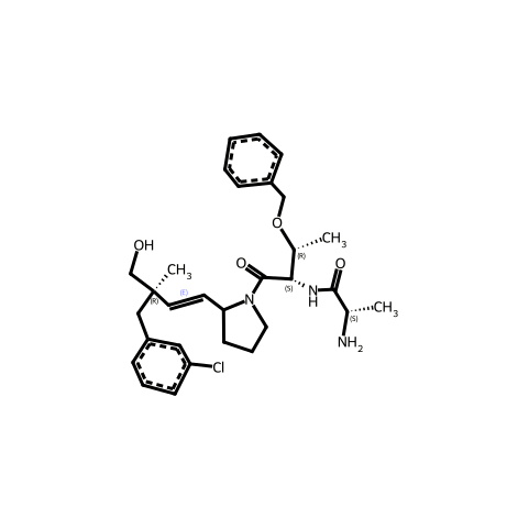 C[C@H](N)C(=O)N[C@H](C(=O)N1CCCC1/C=C/[C@](C)(CO)Cc1cccc(Cl)c1)[C@@H](C)OCc1ccccc1